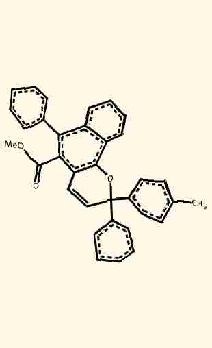 COC(=O)c1c2c(c3ccccc3c1-c1ccccc1)OC(c1ccccc1)(c1ccc(C)cc1)C=C2